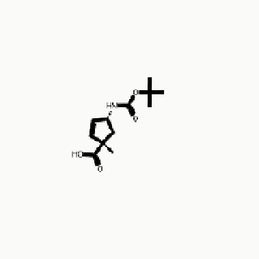 CC(C)(C)OC(=O)N[C@H]1C=C[C@@](C)(C(=O)O)C1